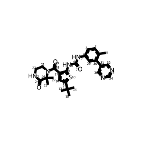 Cc1ccc(NC(=O)Nc2sc(C(C)(C)C)cc2C(=O)N2CCNC(=O)C2(C)C)cc1-c1cncnc1